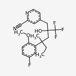 CCC(C)(CC(O)(Cc1ccnc(C#N)c1)C(F)(F)F)c1cc(F)ccc1OC